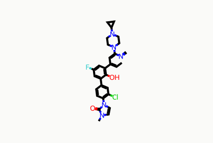 C=N/C(=C\C(=C/C)c1cc(F)cc(-c2ccc(-n3ccn(C)c3=O)c(Cl)c2)c1O)N1CCN(C2CC2)CC1